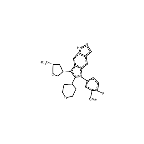 COc1cc(-n2c(C3CCOCC3)c([C@@H]3CO[C@H](C(=O)O)C3)c3cc4[nH]ncc4cc32)ccc1F